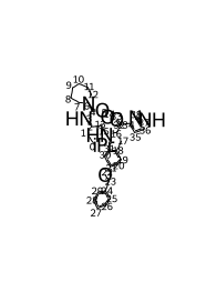 CC(C)C[C@H](NC(=O)N1CCCCCC1)C(=O)N[C@@H](Cc1ccc(OCc2ccccc2)cc1)C(=O)c1cc[nH]n1